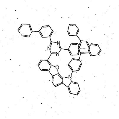 c1ccc(-c2ccc(-c3nc(-c4cccc(-c5ccccc5)c4)nc(-c4cccc5c4oc4c5ccc5c6ccccc6n(-c6ccc(-c7cccc(-c8ccccc8)c7)cc6)c54)n3)cc2)cc1